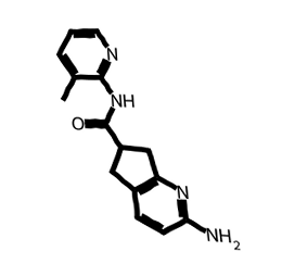 Cc1cccnc1NC(=O)C1Cc2ccc(N)nc2C1